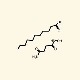 CCCCCCCCCCC(=O)O.NC(=O)CCC(=O)NO